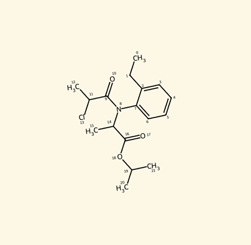 CCc1ccccc1N(C(=O)C(C)Cl)C(C)C(=O)OC(C)C